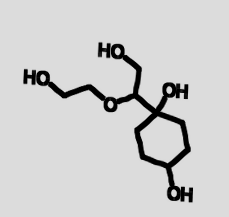 OCCOC(CO)C1(O)CCC(O)CC1